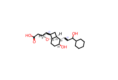 CO[C@@]12CC[C@H](O)[C@@H](/C=C/C(O)C3CCCCC3)[C@@H]1C/C2=C/CCC(=O)O